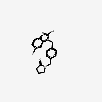 O=C1CCCN1Cc1ccc(Cn2c(Cl)nc3ccc(F)cc32)cc1